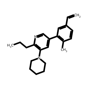 C=Cc1ccc(C)c(-c2cnc(CCC)c(N3CCCCC3)c2)c1